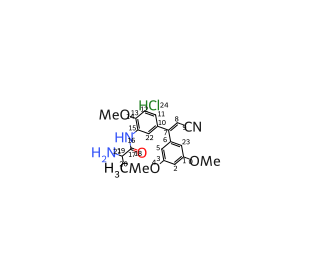 COc1cc(OC)cc(/C(=C\C#N)c2ccc(OC)c(NC(=O)C(C)N)c2)c1.Cl